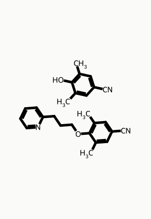 Cc1cc(C#N)cc(C)c1O.Cc1cc(C#N)cc(C)c1OCCCc1ccccn1